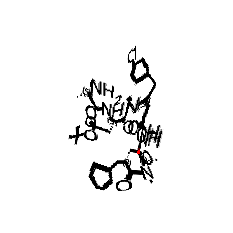 C[C@H](N)C(=O)N[C@@H](CC(=O)OC(C)(C)C)C(=O)N(C)[C@H](CC(=O)NC[C@H](C)N(C)C(=O)[C@@H](CC(=O)O)Cc1ccccc1)Cc1ccc(Cl)cc1